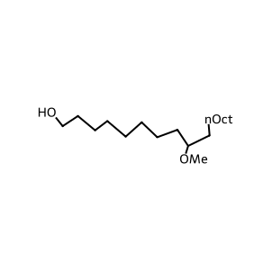 CCCCCCCCCC(CCCCCCCCO)OC